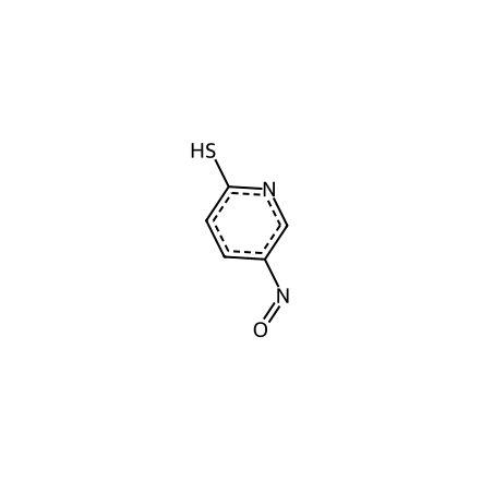 O=Nc1ccc(S)nc1